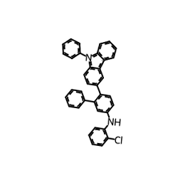 Clc1ccccc1Nc1ccc(-c2ccc3c(c2)c2ccccc2n3-c2ccccc2)c(-c2ccccc2)c1